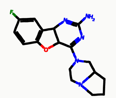 NC1=NC2c3cc(F)ccc3OC2C(N2CCN3CCCC3C2)=N1